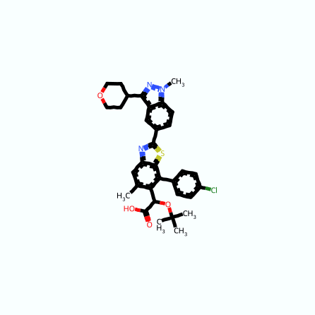 Cc1cc2nc(-c3ccc4c(c3)c(C3CCOCC3)nn4C)sc2c(-c2ccc(Cl)cc2)c1C(OC(C)(C)C)C(=O)O